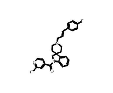 O=C(c1ccnc(Cl)c1)N1CC2(CCN(C/C=C/c3ccc(F)cc3)CC2)c2ccccc21